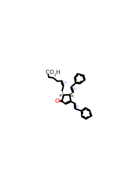 O=C(O)CCC/C=C\C[C@H]1C(=O)C=C(/C=C/c2ccccc2)[C@@H]1/C=C/c1ccccc1